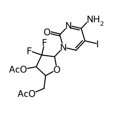 CC(=O)OCC1OC(n2cc(I)c(N)nc2=O)C(F)(F)C1OC(C)=O